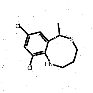 CC1SCCCNc2c(Cl)cc(Cl)cc21